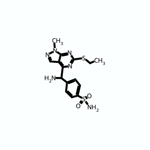 CCSc1nc(C(N)c2ccc(S(N)(=O)=O)cc2)c2cnn(C)c2n1